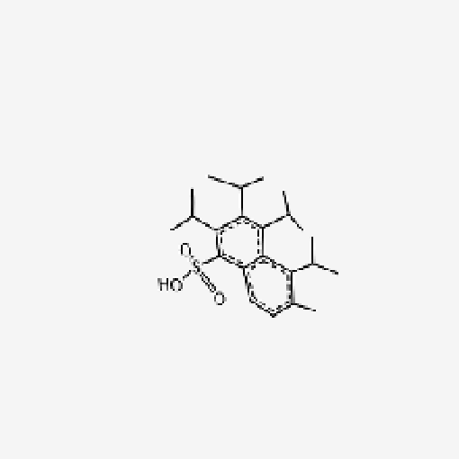 Cc1ccc2c(S(=O)(=O)O)c(C(C)C)c(C(C)C)c(C(C)C)c2c1C(C)C